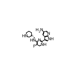 Nc1cnc2[nH]cc(C3=NC(NC[C@H]4CCCNC4)=C(F)CN3)c2c1